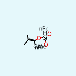 CCCO[SiH](OCCC)OC(OC)=C(C)C